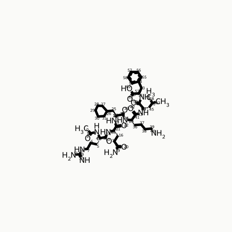 CC(=O)N[C@@H](CCCNC(=N)N)C(=O)N[C@@H](CCC(N)=O)C(=O)N[C@@H](CC1CCCCC1)C(=O)N[C@@H](CCCCN)C(=O)N[C@@H](CC(C)C)C(=O)NC(Cc1ccccc1)C(=O)O